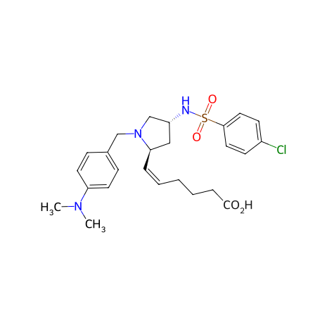 CN(C)c1ccc(CN2C[C@H](NS(=O)(=O)c3ccc(Cl)cc3)C[C@H]2/C=C\CCCC(=O)O)cc1